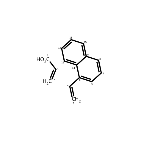 C=CC(=O)O.C=Cc1cccc2ccccc12